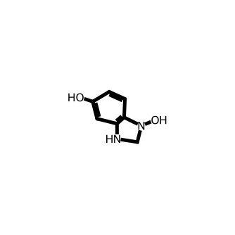 Oc1ccc2c(c1)NCN2O